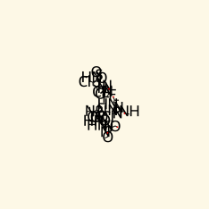 CCNc1nc(Cl)nc(NC(C)C)n1.COc1cc(OC)nc(NC(=O)NS(=O)(=O)c2ncccc2C(=O)N(C)C)n1.Cc1nn(-c2cc(NS(C)(=O)=O)c(Cl)cc2Cl)c(=O)n1C(F)F